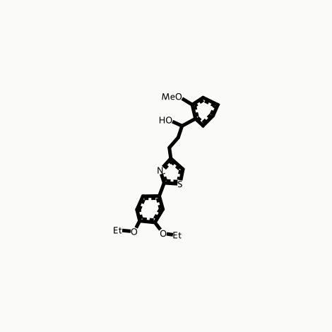 CCOc1ccc(-c2nc(CCC(O)c3ccccc3OC)cs2)cc1OCC